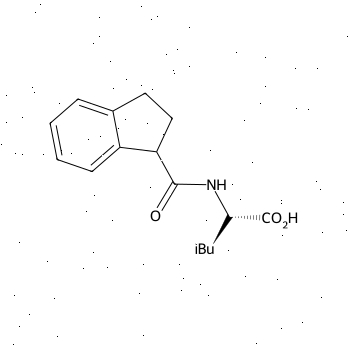 CC[C@H](C)[C@H](NC(=O)C1CCc2ccccc21)C(=O)O